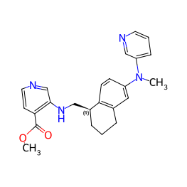 COC(=O)c1ccncc1NC[C@@H]1CCCc2cc(N(C)c3cccnc3)ccc21